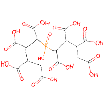 O=C(O)CC(C(=O)O)C(C(=O)O)C(C(=O)O)P(=O)(O)C(C(=O)O)C(C(=O)O)C(CC(=O)O)C(=O)O